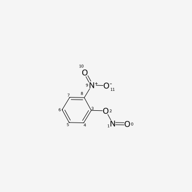 O=NOc1ccccc1[N+](=O)[O-]